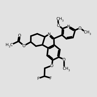 COc1ccc(C2=NC3CCC(OC(C)=O)CC3c3cc(OCC(F)F)c(OC)cc32)c(OC)n1